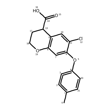 CC1=C=C=C(Oc2cc3c(cc2Cl)C(C(=O)O)CCO3)C=C1